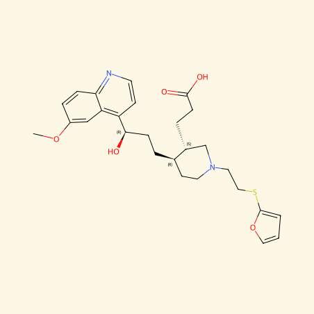 COc1ccc2nccc([C@H](O)CC[C@@H]3CCN(CCSc4ccco4)C[C@H]3CCC(=O)O)c2c1